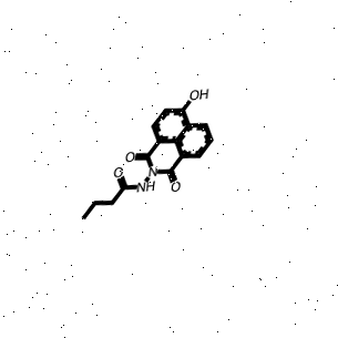 CCCC(=O)NN1C(=O)c2cccc3c(O)ccc(c23)C1=O